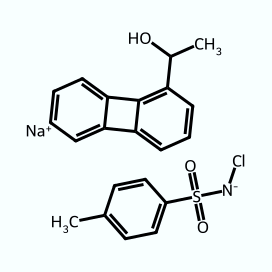 CC(O)c1cccc2c1-c1ccccc1-2.Cc1ccc(S(=O)(=O)[N-]Cl)cc1.[Na+]